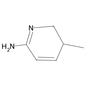 CC1C=CC(N)=NC1